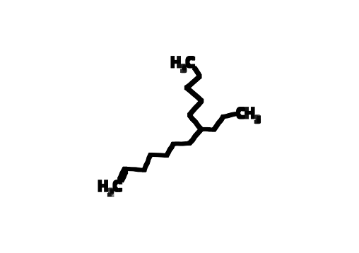 C=CCCCCCC(CCC)CCCCC